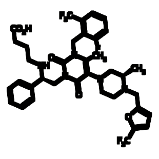 Cc1c(N2CCN(Cc3ccc(C(F)(F)F)o3)[C@H](C)C2)c(=O)n(C[C@H](NCCCC(=O)O)c2ccccc2)c(=O)n1Cc1c(F)cccc1C(F)(F)F